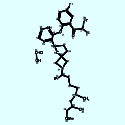 CCN(C(=O)c1cc(F)ccc1Oc1nncnc1N1CCC2(C1)CN(C(CCCN(C)CC(O)COC)C(C)C)C2)C(C)C.O=CO